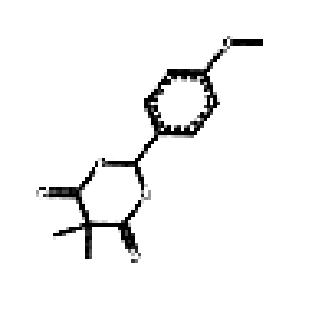 COc1ccc(C2OC(=O)C(C)(C)C(=O)O2)cc1